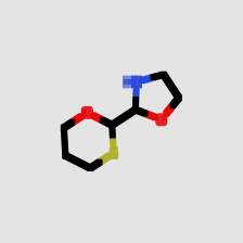 C1COC(C2NCCO2)SC1